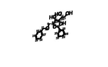 OC[C@@H](O)[C@@H](O)[C@H](O)[C@@H](COCc1ccccc1)OCc1ccccc1